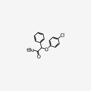 CC(C)(C)C(=O)C(Oc1ccc(Cl)cc1)c1ccccc1